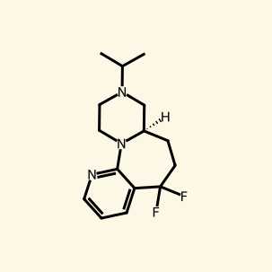 CC(C)N1CCN2c3ncccc3C(F)(F)CC[C@@H]2C1